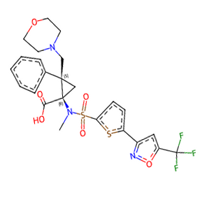 CN([C@]1(C(=O)O)C[C@@]1(CN1CCOCC1)c1ccccc1)S(=O)(=O)c1ccc(-c2cc(C(F)(F)F)on2)s1